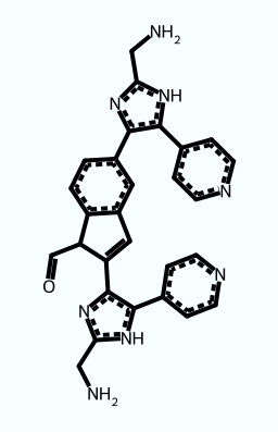 NCc1nc(C2=Cc3cc(-c4nc(CN)[nH]c4-c4ccncc4)ccc3C2C=O)c(-c2ccncc2)[nH]1